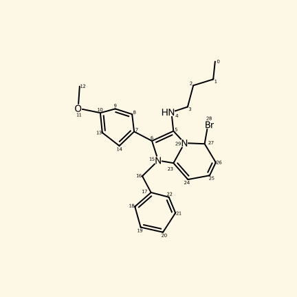 CCCCNC1=C(c2ccc(OC)cc2)N(Cc2ccccc2)C2=CC=CC(Br)N21